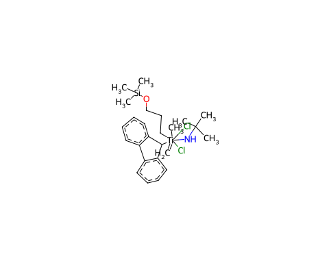 [CH2]=[Ti]([CH3])([Cl])([Cl])([CH2]CCO[Si](C)(C)C)([NH]C(C)(C)C)[CH]1c2ccccc2-c2ccccc21